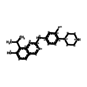 CC(C)c1c(O)ccc2cnc(Nc3ccc(N4CCNCC4)c(F)c3)nc12